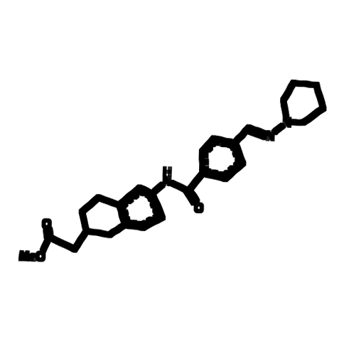 COC(=O)CC1CCc2cc(NC(=O)c3ccc(C=NN4CCCCC4)cc3)ccc2C1